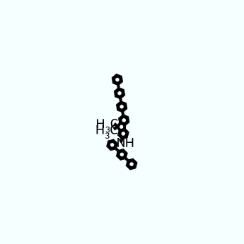 CC1(C)c2cc(Nc3ccccc3-c3ccc(-c4ccccc4)cc3)ccc2-c2ccc(-c3ccc(-c4ccc(-c5ccccc5)cc4)cc3)cc21